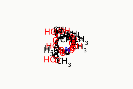 CC[C@H]1C/C(C)=C/[C@@H](C/C=C/C(C)(O)C(C)(C)CO)C(=O)C[C@H](O)[C@@H](C)[C@@H](/C(C)=C/[C@@H]2CC[C@@H](O)[C@H](OC)C2)OC(=O)[C@@H]2CCCCN2C(=O)C(=O)[C@]2(O)O[C@H]([C@@H](OC)C1)[C@@H](OC)C[C@H]2C